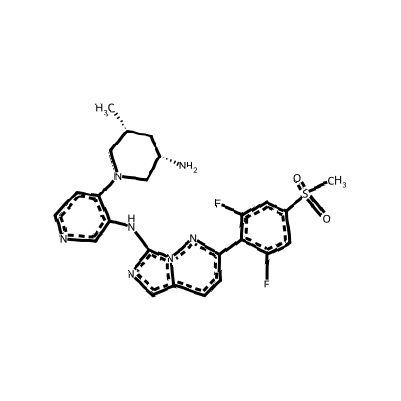 C[C@@H]1C[C@H](N)CN(c2ccncc2Nc2ncc3ccc(-c4c(F)cc(S(C)(=O)=O)cc4F)nn23)C1